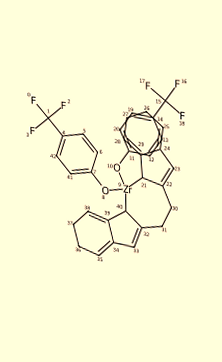 FC(F)(F)c1ccc([O][Zr]2([O]c3ccc(C(F)(F)F)cc3)[CH]3C(=CC4=CCCC=C43)CCC3=CC4=CCCC=C4[CH]32)cc1